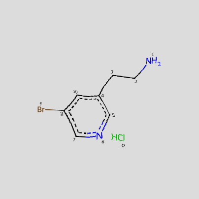 Cl.NCCc1cncc(Br)c1